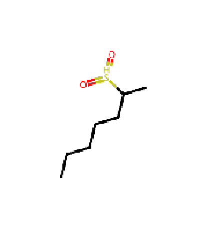 CCCCCC(C)[SH](=O)=O